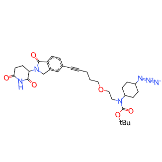 CC(C)(C)OC(=O)N(CCOCCCC#Cc1ccc2c(c1)CN(C1CCC(=O)NC1=O)C2=O)C1CCC(N=[N+]=[N-])CC1